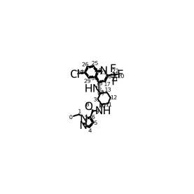 CCn1nccc1C(=O)N[C@@H]1CCC[C@H](Nc2cc(C(F)(F)F)nc3ccc(Cl)cc23)C1